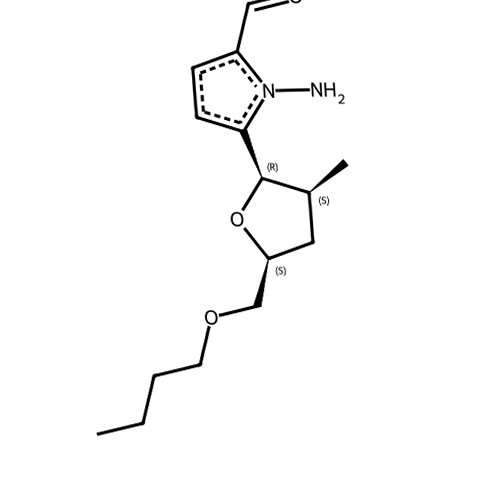 CCCCOC[C@@H]1C[C@H](C)[C@H](c2ccc(C=O)n2N)O1